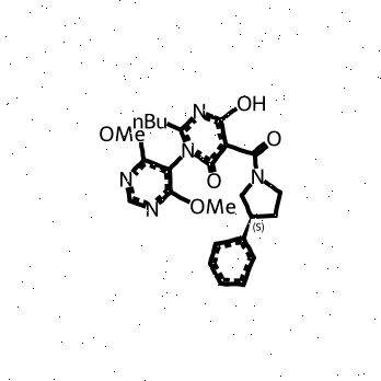 CCCCc1nc(O)c(C(=O)N2CC[C@@H](c3ccccc3)C2)c(=O)n1-c1c(OC)ncnc1OC